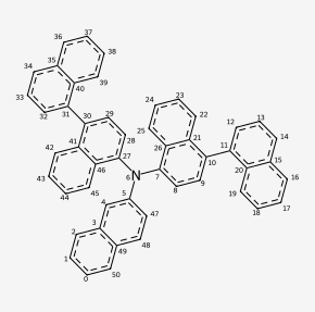 c1ccc2cc(N(c3ccc(-c4cccc5ccccc45)c4ccccc34)c3ccc(-c4cccc5ccccc45)c4ccccc34)ccc2c1